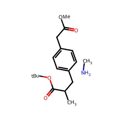 CN.COC(=O)Cc1ccc(CC(C)C(=O)OC(C)(C)C)cc1